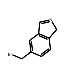 BrCc1ccc2c(c1)C=NC2